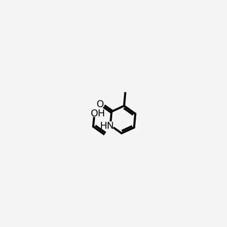 C=CO.Cc1ccc[nH]c1=O